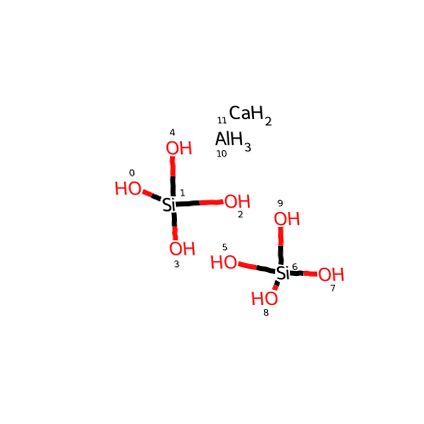 O[Si](O)(O)O.O[Si](O)(O)O.[AlH3].[CaH2]